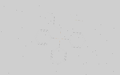 BrSBr.CCCC[PH](c1ccccc1)(c1ccccc1)c1ccccc1